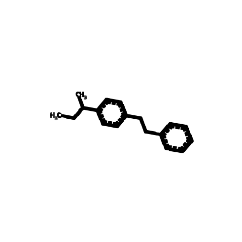 CCC(C)c1ccc(CCc2ccccc2)cc1